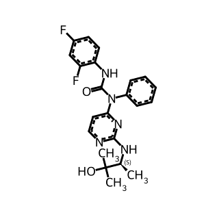 C[C@H](Nc1nccc(N(C(=O)Nc2ccc(F)cc2F)c2ccccc2)n1)C(C)(C)O